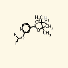 CC1(C)OB(c2ccnc(OC(F)F)c2)OC1(C)C